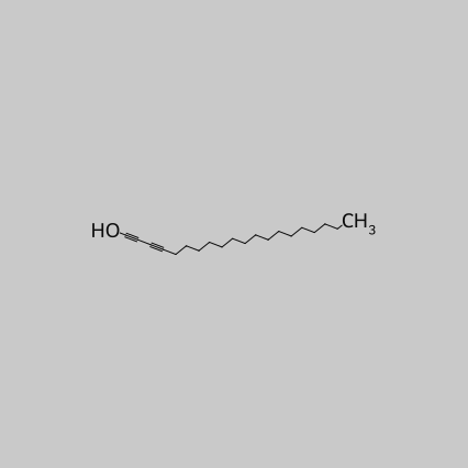 CCCCCCCCCCCCCCCCC#CC#CO